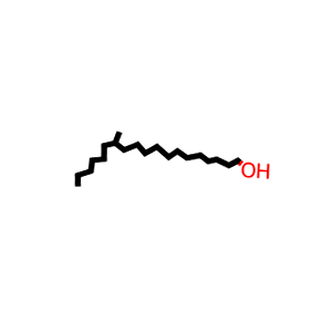 CCCCCCC(C)CCCCCCCCCCCCO